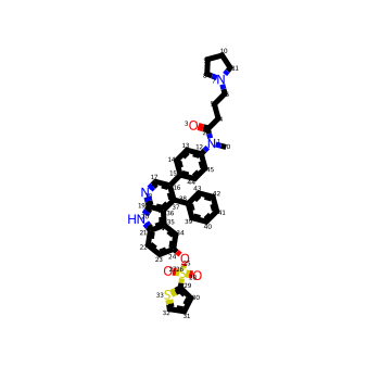 CN(C(=O)CCCN1CCCC1)c1ccc(-c2cnc3[nH]c4ccc(OS(=O)(=O)c5cccs5)cc4c3c2-c2ccccc2)cc1